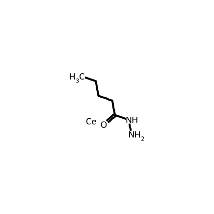 CCCCC(=O)NN.[Ce]